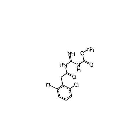 CCCOC(=O)NC(=N)NC(=O)Cc1c(Cl)cccc1Cl